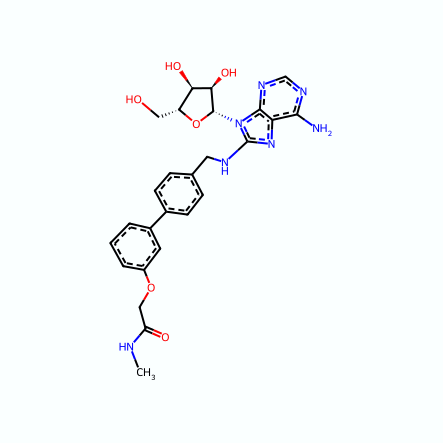 CNC(=O)COc1cccc(-c2ccc(CNc3nc4c(N)ncnc4n3[C@@H]3O[C@H](CO)[C@@H](O)[C@H]3O)cc2)c1